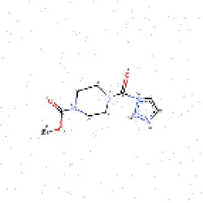 CC(C)(C)OC(=O)N1CCN(C(=O)n2ccnn2)CC1